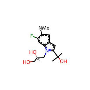 CNc1cc2cc(C(C)(C)O)n(C[C@@H](O)CO)c2cc1F